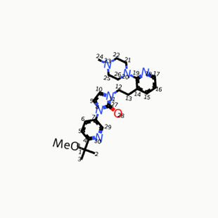 COC(C)(C)c1ccc(-n2ccn(CCc3cccnc3N3CCN(C)CC3)c2=O)cn1